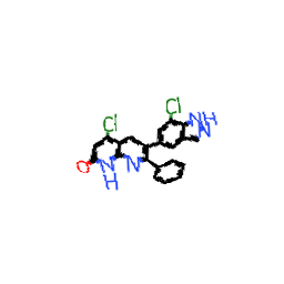 O=c1cc(Cl)c2cc(-c3cc(Cl)c4[nH]ncc4c3)c(-c3ccccc3)nc2[nH]1